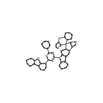 c1ccc(-c2nc(-c3cccc4c3oc3ccccc34)nc(-n3c4ccccc4c4cc5c(cc43)C3(c4ccccc4Oc4ccccc43)c3ccccc3-5)n2)cc1